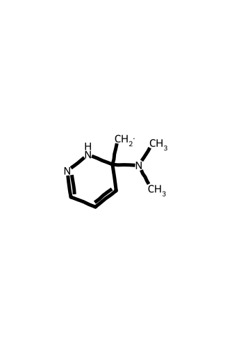 [CH2]C1(N(C)C)C=CC=NN1